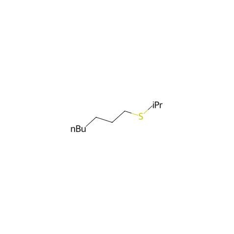 [CH2]CCCCCCSC(C)C